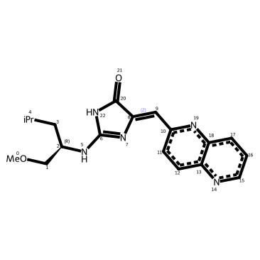 COC[C@@H](CC(C)C)NC1=N/C(=C\c2ccc3ncccc3n2)C(=O)N1